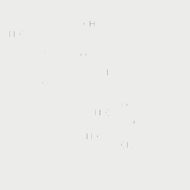 CCOC(=O)C(OCC)c1c(F)ccc(O[Si](c2ccccc2)(c2ccccc2)C(C)(C)C)c1F